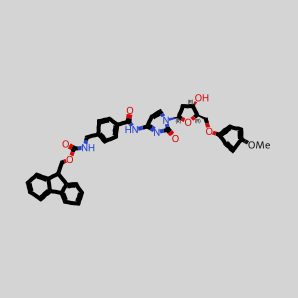 COc1ccc(OC[C@H]2O[C@@H](n3ccc(NC(=O)c4ccc(CNC(=O)OCC5c6ccccc6-c6ccccc65)cc4)nc3=O)C[C@H]2O)cc1